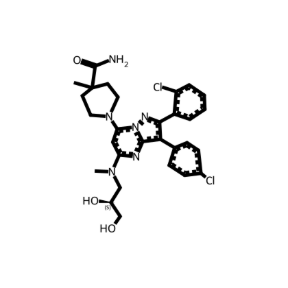 CN(C[C@H](O)CO)c1cc(N2CCC(C)(C(N)=O)CC2)n2nc(-c3ccccc3Cl)c(-c3ccc(Cl)cc3)c2n1